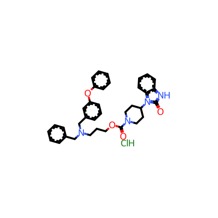 Cl.O=C(OCCCN(Cc1ccccc1)Cc1cccc(Oc2ccccc2)c1)N1CCC(n2c(=O)[nH]c3ccccc32)CC1